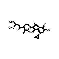 COc1c(N2CCN(C(=O)CC(C=O)C=O)C(C)C2)c(F)cc2c(=O)c(C(C)=O)cn(C3CC3)c12